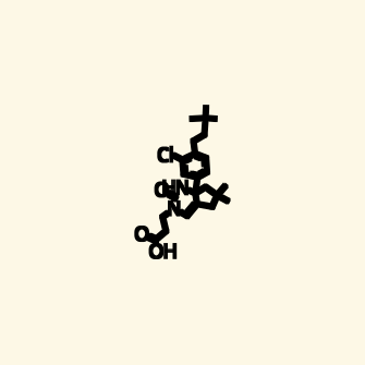 CC(C)(C)CCc1ccc(C23CC(C)(C)CC2=CN(CCC(=O)O)C(=O)N3)cc1Cl